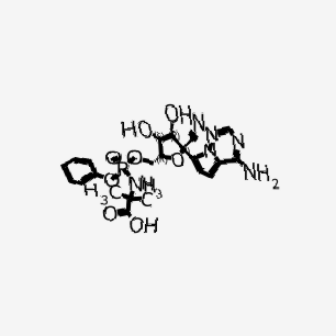 CC(C)(NP(=O)(OC[C@H]1O[C@@](C#N)(c2ccc3c(N)ncnn23)[C@H](O)[C@@H]1O)Oc1ccccc1)C(=O)O